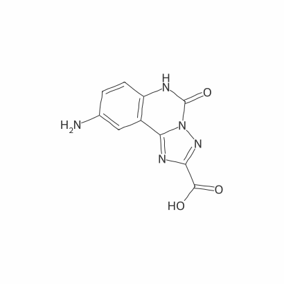 Nc1ccc2[nH]c(=O)n3nc(C(=O)O)nc3c2c1